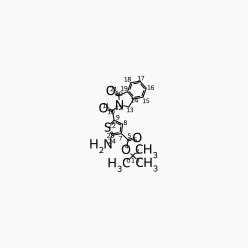 CC(C)(C)OC(=O)c1cc(C(=O)N2Cc3ccccc3C2=O)sc1N